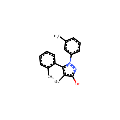 Cc1cccc(-n2nc(O)c(C(C)(C)C)c2-c2ccccc2C)c1